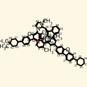 Cc1ccccc1-c1cc(-c2ccc3c(c2)oc2cc(C4CCCCC4)ccc23)cc(-c2ccccc2/C2=C/C3N(C)C=CN3c3c(C)c(cc4c3oc3cc(C5CCC(C)(C)CC5)ccc34)N3C=CN(C)C23)[n+]1C